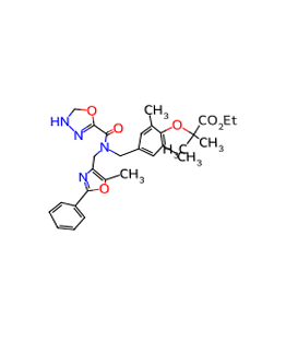 CCOC(=O)C(C)(C)Oc1c(C)cc(CN(Cc2nc(-c3ccccc3)oc2C)C(=O)C2=NNCO2)cc1C